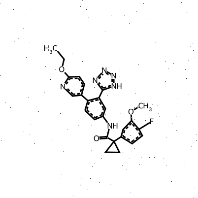 CCOc1ccc(-c2ccc(NC(=O)C3(c4ccc(F)c(OC)c4)CC3)cc2-c2nnn[nH]2)cn1